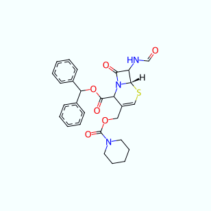 O=CNC1C(=O)N2C(C(=O)OC(c3ccccc3)c3ccccc3)C(COC(=O)N3CCCCC3)=CS[C@@H]12